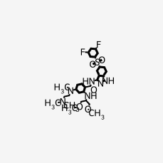 COCC(COC)Nc1cc(N(C)CCN(C)C)ccc1C(=O)Nc1n[nH]c2ccc(S(=O)(=O)c3cc(F)cc(F)c3)cc12